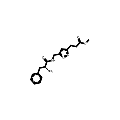 COC(=O)CCc1cc(CNC(=O)[C@@H](N)Cc2ccccc2)on1